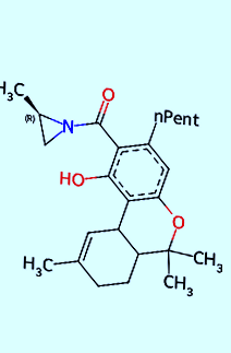 CCCCCc1cc2c(c(O)c1C(=O)N1C[C@H]1C)C1C=C(C)CCC1C(C)(C)O2